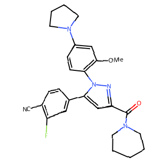 COc1cc(N2CCCC2)ccc1-n1nc(C(=O)N2CCCCC2)cc1-c1ccc(C#N)c(F)c1